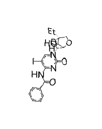 CC[C@@]12COC([C@H](n3cc(I)c(NC(=O)c4ccccc4)nc3=O)O1)[C@H]2O